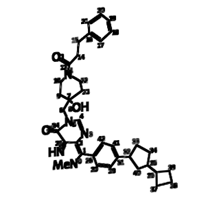 CN/C(=C1/N=CN(CC2(O)CCN(C(=O)CCc3ccccc3)CC2)C(=O)C1=N)c1ccc(C2CCC(C3CCC3)C2)cc1